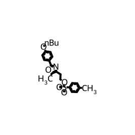 CCCCOc1ccc(-c2nc(CCOS(=O)(=O)c3ccc(C)cc3)c(C)o2)cc1